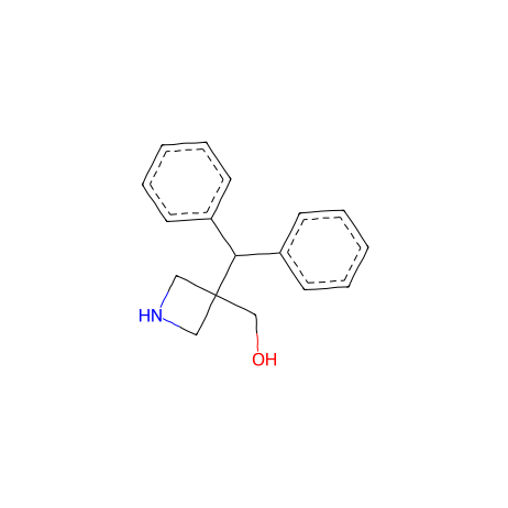 OCC1(C(c2ccccc2)c2ccccc2)CNC1